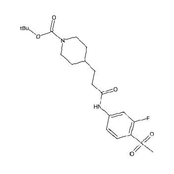 CC(C)(C)OC(=O)N1CCC(CCC(=O)Nc2ccc(S(C)(=O)=O)c(F)c2)CC1